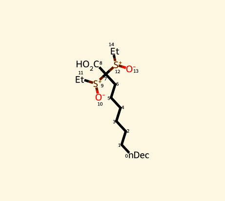 CCCCCCCCCCCCCCCCC(C(=O)O)([S+]([O-])CC)[S+]([O-])CC